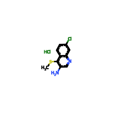 CSc1c(N)cnc2cc(Cl)ccc12.Cl